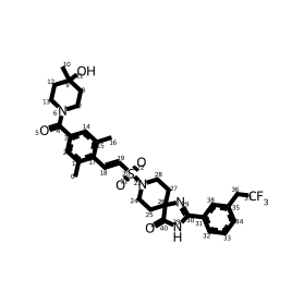 Cc1cc(C(=O)N2CCC(C)(O)CC2)cc(C)c1/C=C/S(=O)(=O)N1CCC2(CC1)N=C(c1cccc(CC(F)(F)F)c1)NC2=O